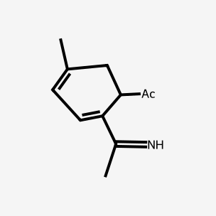 CC(=N)C1=CC=C(C)CC1C(C)=O